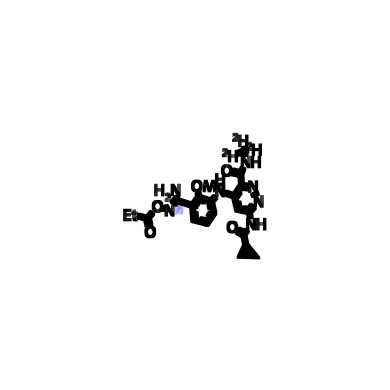 [2H]C([2H])([2H])NC(=O)c1nnc(NC(=O)C2CC2)cc1Nc1cccc(/C(N)=N/OC(=O)CC)c1OC